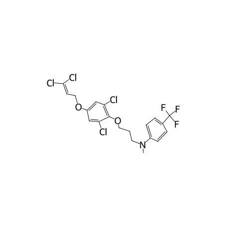 CN(CCCOc1c(Cl)cc(OCC=C(Cl)Cl)cc1Cl)c1ccc(C(F)(F)F)cc1